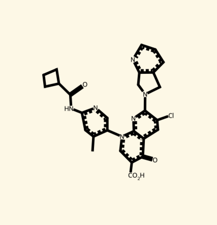 Cc1cc(NC(=O)C2CCC2)ncc1-n1cc(C(=O)O)c(=O)c2cc(Cl)c(N3Cc4cccnc4C3)nc21